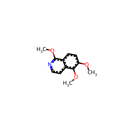 COc1ccc2c(OC)nccc2c1OC